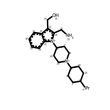 CC(C)C1CCC(N2CCC(n3c(CN)c(CO)c4ccccc43)CC2)CC1